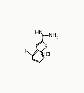 Cl.N=C(N)c1cc2c(I)cccc2s1